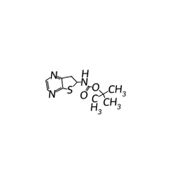 CC(C)(C)OC(=O)NC1Cc2nccnc2S1